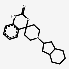 O=C1Nc2ccccc2C2(CCN(C3CC4CCCCC4C3)CC2)O1